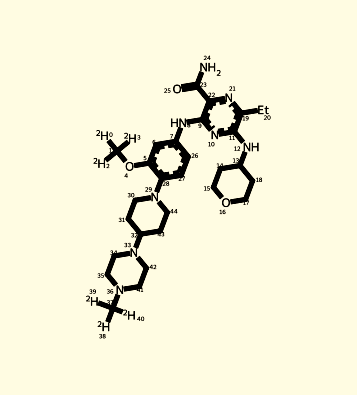 [2H]C([2H])([2H])Oc1cc(Nc2nc(NC3CCOCC3)c(CC)nc2C(N)=O)ccc1N1CCC(N2CCN(C([2H])([2H])[2H])CC2)CC1